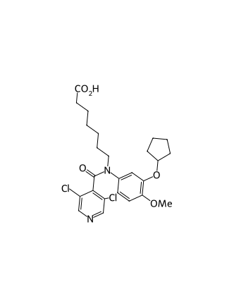 COc1ccc(N(CCCCCCC(=O)O)C(=O)c2c(Cl)cncc2Cl)cc1OC1CCCC1